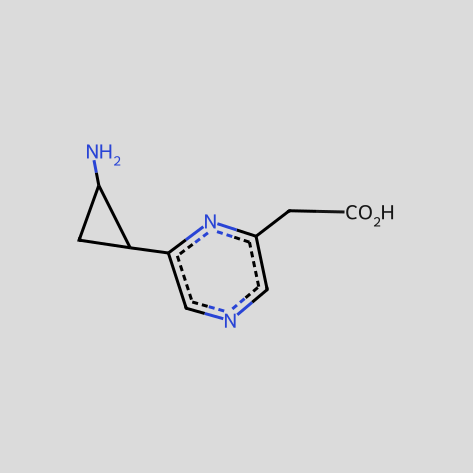 NC1CC1c1cncc(CC(=O)O)n1